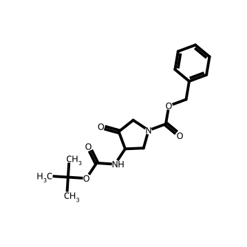 CC(C)(C)OC(=O)NC1CN(C(=O)OCc2ccccc2)CC1=O